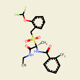 C[C@](NC(=O)c1ccccc1C(F)(F)F)(C(=O)NCC#N)S(=O)(=O)Cc1ccccc1OC(F)F